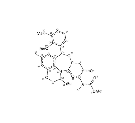 COC(=O)C(C)OC(=O)CC1OC(c2cccc(OC)c2OC)c2cc(C)cc3c2N(C1=O)C(C(C)(C)C)CO3